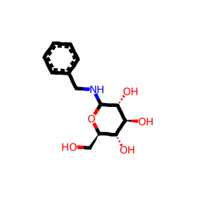 OC[C@H]1OC(NCc2ccccc2)[C@H](O)[C@@H](O)[C@@H]1O